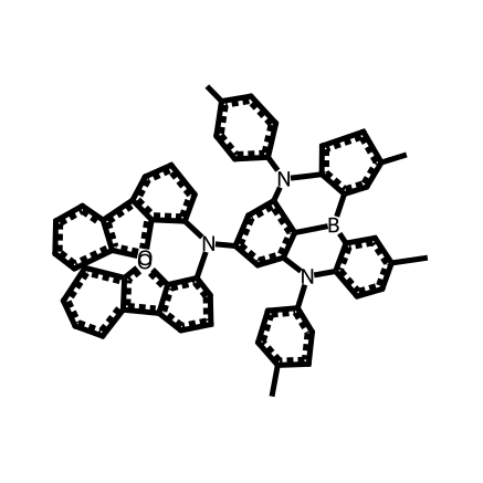 Cc1ccc(N2c3ccc(C)cc3B3c4cc(C)ccc4N(c4ccc(C)cc4)c4cc(N(c5cccc6c5oc5ccccc56)c5cccc6c5oc5ccccc56)cc2c43)cc1